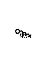 CC(C)(C)C/C(O)=C/C(=O)CC1CCCCC1